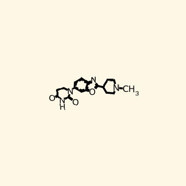 CN1CCC(c2nc3ccc(N4CCC(=O)NC4=O)cc3o2)CC1